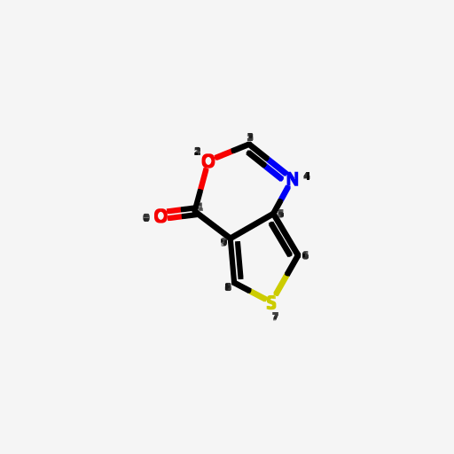 O=c1ocnc2cscc12